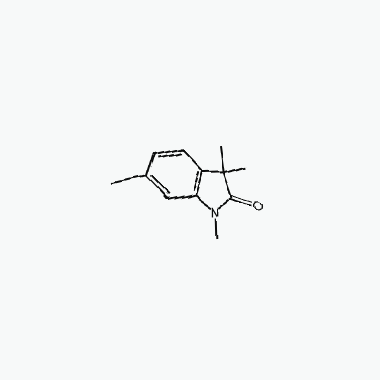 Cc1ccc2c(c1)N(C)C(=O)C2(C)C